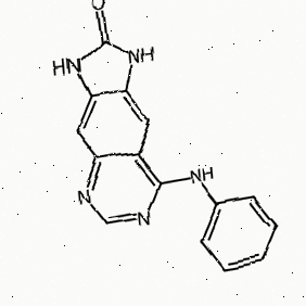 O=c1[nH]c2cc3ncnc(Nc4ccccc4)c3cc2[nH]1